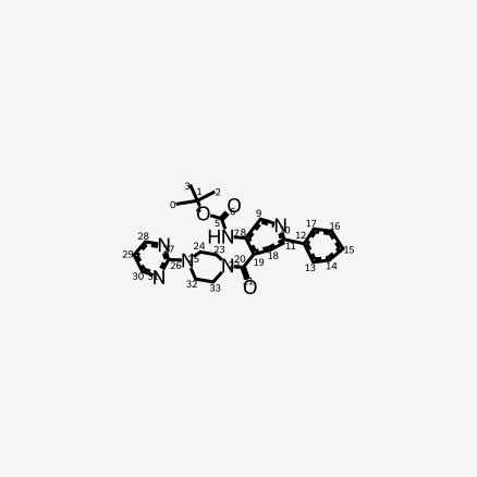 CC(C)(C)OC(=O)Nc1cnc(-c2ccccc2)cc1C(=O)N1CCN(c2ncccn2)CC1